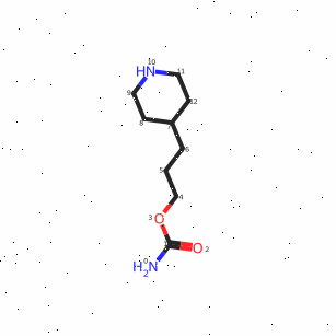 NC(=O)OCC[CH]C1CCNCC1